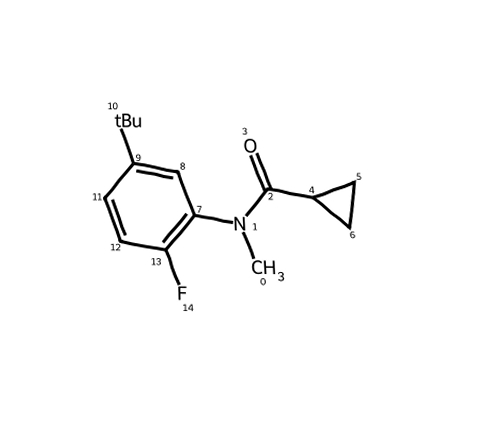 CN(C(=O)C1CC1)c1cc(C(C)(C)C)ccc1F